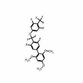 COc1cc(OC)c(-c2cc(F)c(C(F)(F)Oc3cc(F)c(C(F)(F)F)c(F)c3)c(F)c2)c(OC)c1